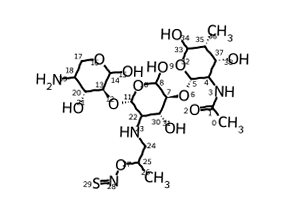 CC(=O)NC1[C@H](O[C@@H]2C(O)O[C@@H](O[C@@H]3C(O)OCC(N)[C@H]3O)C(NCC(C)ON=S)[C@H]2O)OC(O)[C@H](C)[C@@H]1O